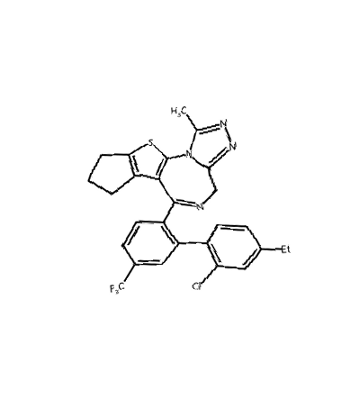 CCc1ccc(-c2cc(C(F)(F)F)ccc2C2=NCc3nnc(C)n3-c3sc4c(c32)CCC4)c(Cl)c1